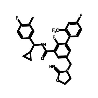 Cc1cc(C(NC(=O)c2cc(CN3CCOC3=N)cc(-c3ccc(F)cc3C(F)(F)F)c2F)C2CC2)ccc1F